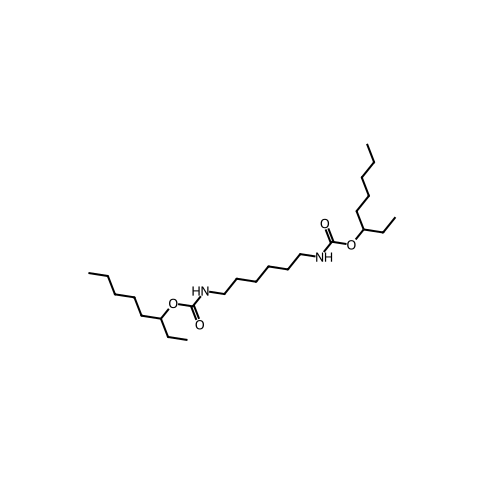 CCCCCC(CC)OC(=O)NCCCCCCNC(=O)OC(CC)CCCCC